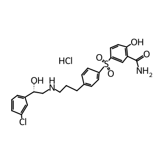 Cl.NC(=O)c1cc(S(=O)(=O)c2ccc(CCCNC[C@@H](O)c3cccc(Cl)c3)cc2)ccc1O